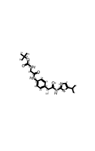 CC(C)c1cnc(NC(=O)[C@H](C)c2ccc(NC(=O)CNC(=O)OC(C)(C)C)cc2)s1